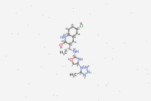 Cc1nnnn1-c1coc(N[C@H](C)c2cc3cc(Cl)ccc3[nH]c2=O)n1